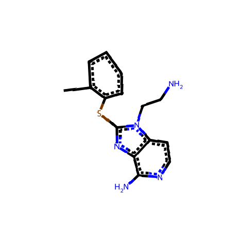 Cc1ccccc1Sc1nc2c(N)nccc2n1CCN